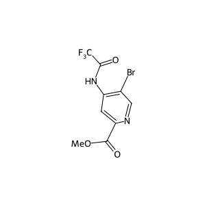 COC(=O)c1cc(NC(=O)C(F)(F)F)c(Br)cn1